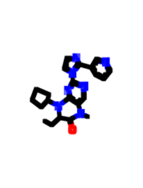 CCC1C(=O)N(C)c2cnc(-n3ccnc3-c3cccnc3)nc2N1C1CCCC1